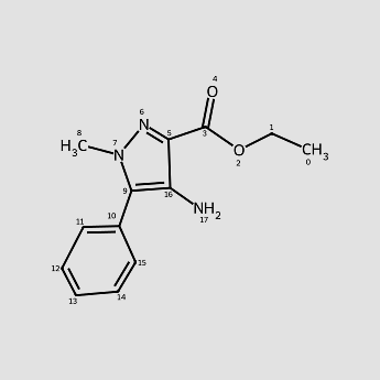 CCOC(=O)c1nn(C)c(-c2ccccc2)c1N